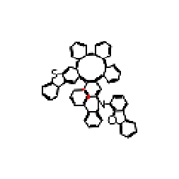 c1ccc(-c2ccccc2N(c2ccc3c(c2)c2ccccc2c2ccccc2c2ccccc2c2cc4sc5ccccc5c4cc32)c2cccc3c2oc2ccccc23)cc1